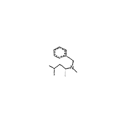 CC(C)C[C@@H](C)N(C)Cc1ccccc1